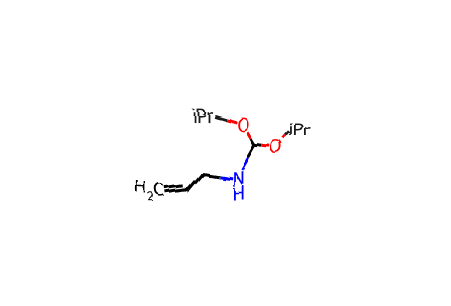 C=CCNC(OC(C)C)OC(C)C